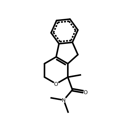 CN(C)C(=O)C1(C)OCCC2=C1Cc1ccccc12